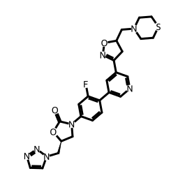 O=C1O[C@H](Cn2ccnn2)CN1c1ccc(-c2cncc(C3=NOC(CN4CCSCC4)C3)c2)c(F)c1